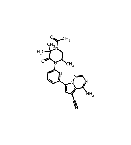 CC(=O)N1CC(C)N(c2cccc(-c3cc(C#N)c4c(N)ncnn34)n2)C(=O)C1(C)C